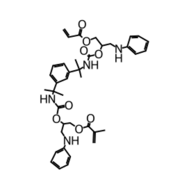 C=CC(=O)OCC(CNc1ccccc1)OC(=O)NC(C)(C)c1cccc(C(C)(C)NC(=O)OC(CNc2ccccc2)COC(=O)C(=C)C)c1